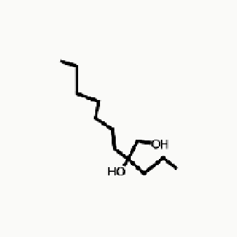 CCCCCCCC(O)(CO)CCC